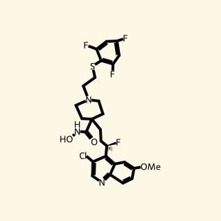 COc1ccc2ncc(Cl)c([C@H](F)CCC3(C(=O)NO)CCN(CCSc4c(F)cc(F)cc4F)CC3)c2c1